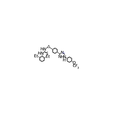 CCc1cccc(CC)c1NC(=S)NC1CC1c1ccc(C(=N)/N=C\Nc2ccc(OC(F)(F)F)cc2)cc1